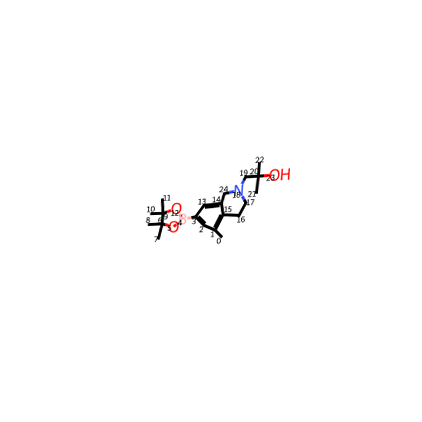 Cc1cc(B2OC(C)(C)C(C)(C)O2)cc2c1CCN(CC(C)(C)O)C2